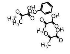 CC(=O)C(=O)O.CC(=O)C(=O)O.CC(=O)C(=O)O.Oc1ccccc1.P